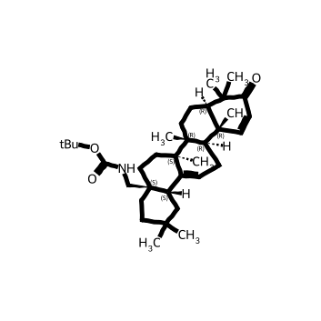 CC1(C)CC[C@]2(CNC(=O)OC(C)(C)C)CC[C@]3(C)C(=CC[C@@H]4[C@@]5(C)C=CC(=O)C(C)(C)[C@@H]5CC[C@]43C)[C@@H]2C1